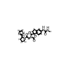 CNC(=O)Nc1ccc2c(c1)CCC21OC(=O)N(CC(=O)N2CCCC2c2ncc[nH]2)C1=O